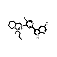 CCCS(=O)(=O)N1CCCCC1CNc1nc(-c2c[nH]c3ncc(Cl)cc23)ncc1F